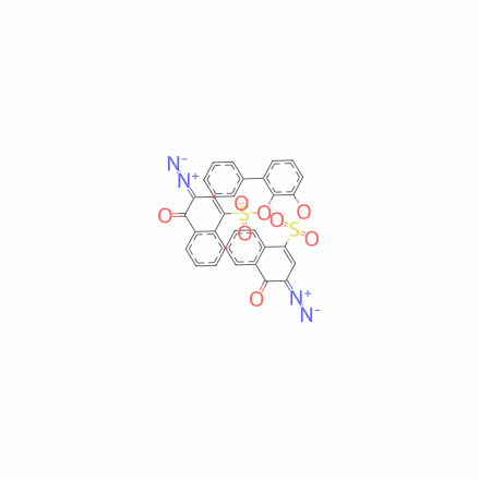 [N-]=[N+]=C1C=C(S(=O)(=O)Oc2cccc(-c3ccccc3)c2OS(=O)(=O)C2=CC(=[N+]=[N-])C(=O)c3ccccc32)c2ccccc2C1=O